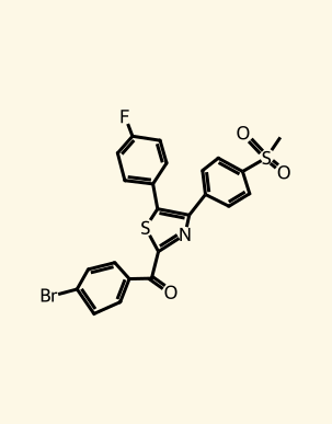 CS(=O)(=O)c1ccc(-c2nc(C(=O)c3ccc(Br)cc3)sc2-c2ccc(F)cc2)cc1